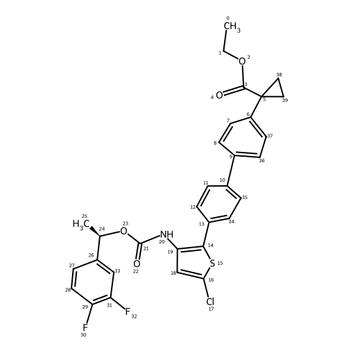 CCOC(=O)C1(c2ccc(-c3ccc(-c4sc(Cl)cc4NC(=O)O[C@H](C)c4ccc(F)c(F)c4)cc3)cc2)CC1